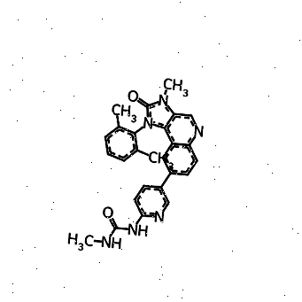 CNC(=O)Nc1ccc(-c2ccc3ncc4c(c3c2)n(-c2c(C)cccc2C)c(=O)n4C)cn1